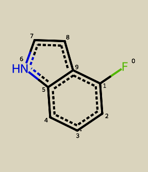 Fc1c[c]cc2[nH]ccc12